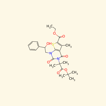 CCOC(=O)c1sc2c(c1C)c(=O)n(C(C)(C)C(=O)OC(C)(C)C)c(=O)n2CC(O)c1ccccc1